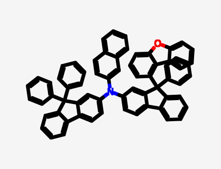 c1ccc(C2(c3ccccc3)c3ccccc3-c3ccc(N(c4ccc5c(c4)C(c4ccccc4)(c4cccc6oc7ccccc7c46)c4ccccc4-5)c4ccc5ccccc5c4)cc32)cc1